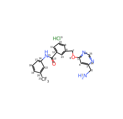 Cl.NCc1cc(OCc2cccc(C(=O)Nc3cccc(C(F)(F)F)c3)c2)ncn1